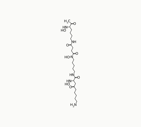 CC(=O)C(CCCCNC(=O)CCC(=O)N(O)CCCCCNC(=O)C(CC(=O)CCCCCN)NO)NO